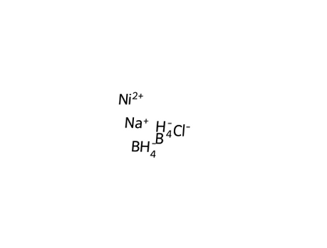 [BH4-].[BH4-].[Cl-].[Na+].[Ni+2]